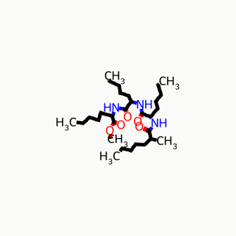 CCCCCC(C)C(=O)NC(CCCCC)C(=O)NC(CCCCC)C(=O)NC(CCCCC)C(=O)OC